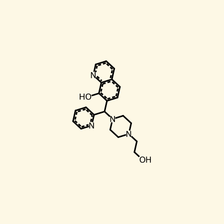 OCCN1CCN(C(c2ccccn2)c2ccc3cccnc3c2O)CC1